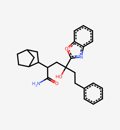 NC(=O)C(CC(O)(CCc1ccccc1)c1nc2ccccc2o1)C1CC2CCC1C2